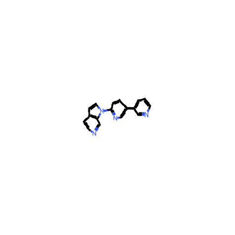 c1cncc(-c2ccc(-n3ccc4ccncc43)nc2)c1